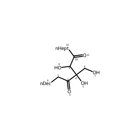 CCCCCCCCCCCC(=O)C(O)(CO)C(O)C(=O)CCCCCCC